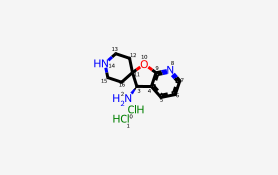 Cl.Cl.N[C@@H]1c2cccnc2OC12CCNCC2